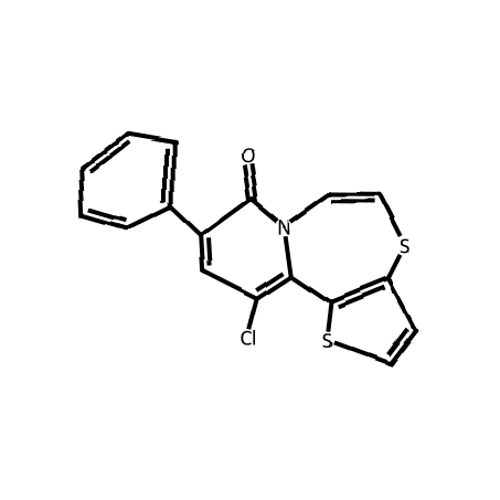 O=c1c(-c2ccccc2)cc(Cl)c2n1C=CSc1ccsc1-2